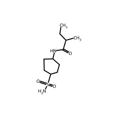 CCC(C)C(=O)NC1CCC(S(N)(=O)=O)CC1